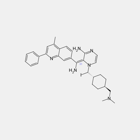 Cc1cc(-c2ccccc2)nc2cc(/C(N)=C3\C(N)=NC=CN3C(I)[C@H]3CC[C@H](CN(C)C)CC3)ccc12